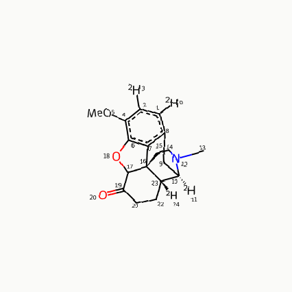 [2H]c1c([2H])c(OC)c2c3c1C[C@@]1([2H])N(C)CC[C@@]34C(O2)C(=O)CC[C@]41[2H]